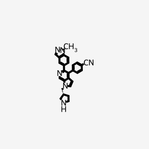 Cn1ncc2cc(-c3ncc4c(ccn4C[C@@H]4CCNC4)c3-c3ccc(C#N)cc3)ccc21